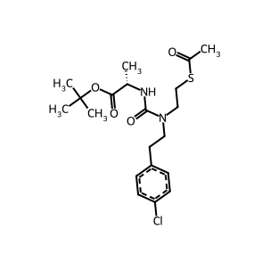 CC(=O)SCCN(CCc1ccc(Cl)cc1)C(=O)N[C@@H](C)C(=O)OC(C)(C)C